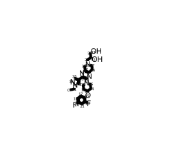 CCn1cc(-c2nc3c(nc2N2CCC(Oc4ccc(F)cc4F)CC2)CCN(C[C@@H](O)CO)C3)cn1